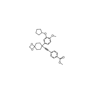 COC(=O)c1ccc(C#CC2(c3ccc(OC)c(OC4CCCC4)c3)CCC3(CC2)OCO3)cc1